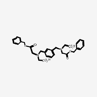 O=C(O)CN(CC(=O)OCc1ccccc1)Cc1cccc(CN(CC(=O)O)CC(=O)OCc2ccccc2)c1